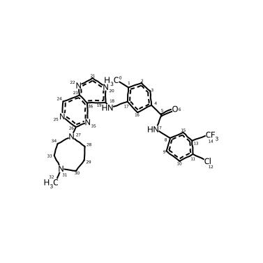 Cc1ccc(C(=O)Nc2ccc(Cl)c(C(F)(F)F)c2)cc1Nc1ncnc2cnc(N3CCCN(C)CC3)nc12